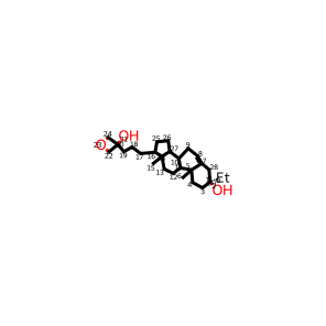 CC[C@]1(O)CCC2(C)C(=CCC3C2CCC2(C)C(CCCC4(O)COC4)CCC32)C1